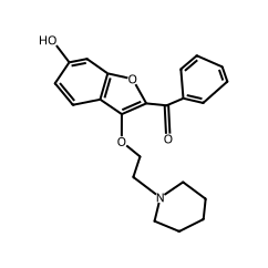 O=C(c1ccccc1)c1oc2cc(O)ccc2c1OCCN1CCCCC1